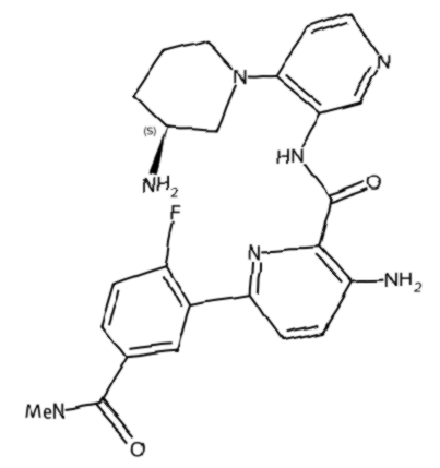 CNC(=O)c1ccc(F)c(-c2ccc(N)c(C(=O)Nc3cnccc3N3CCC[C@H](N)C3)n2)c1